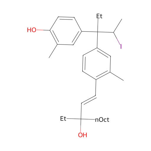 CCCCCCCCC(O)(C=Cc1ccc(C(CC)(c2ccc(O)c(C)c2)C(C)I)cc1C)CC